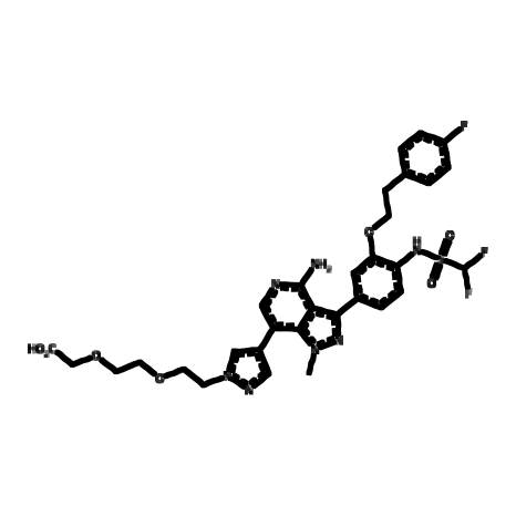 Cn1nc(-c2ccc(NS(=O)(=O)C(F)F)c(OCCc3ccc(F)cc3)c2)c2c(N)ncc(-c3cnn(CCOCCOCC(=O)O)c3)c21